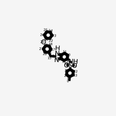 Cc1ccc(S(=O)(=O)Nc2ccc3[nH]c(Cc4ccc(Oc5ccccc5)cc4)nc3c2)cc1